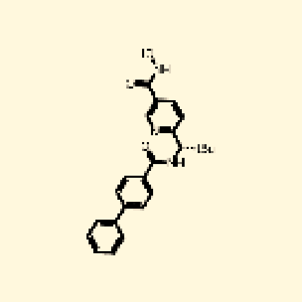 CC(C)(C)[C@H](NC(=O)c1ccc(-c2ccccc2)cc1)c1ccc(C(=O)NO)cn1